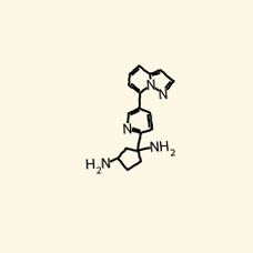 NC1CCC(N)(c2ccc(-c3cccc4ccnn34)cn2)C1